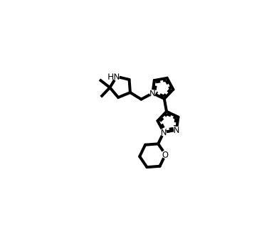 CC1(C)CC(Cn2cccc2-c2cnn(C3CCCCO3)c2)CN1